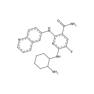 NC(=O)c1cc(F)c(NC2CCCCC2N)nc1Nc1ccc2ncccc2c1